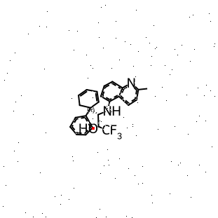 Cc1ccc2c(NC(C(O)C(F)(F)F)[C@@]3(c4ccccc4)C=CC=CC3)cccc2n1